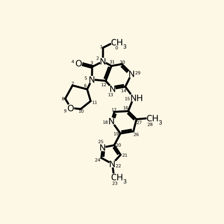 CCn1c(=O)n(C2CCOCC2)c2nc(Nc3cnc(-c4cn(C)cn4)cc3C)ncc21